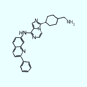 NCC1CCC(c2ncc3c(Nc4ccc5ccc(-c6ccccc6)nc5c4)nccn23)CC1